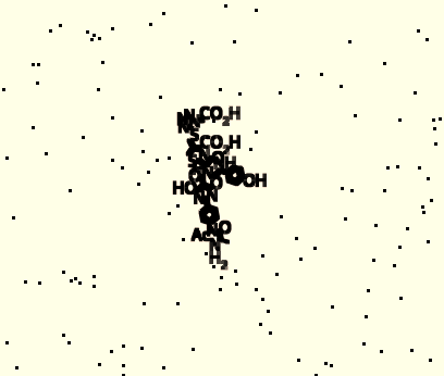 CC(=O)N(C(=O)[C@@H](C)N)c1ccc(-c2ncc(C(=O)N(C(=O)C(N)c3ccc(O)cc3)C3C(=O)N4C(C(=O)O)=C(CSc5nnnn5CC(=O)O)CS[C@@H]34)c(O)n2)cc1